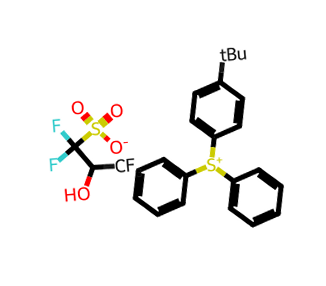 CC(C)(C)c1ccc([S+](c2ccccc2)c2ccccc2)cc1.O=S(=O)([O-])C(F)(F)C(O)C(F)(F)F